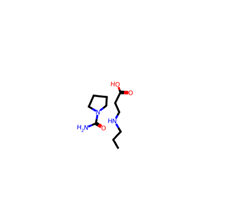 CCCNCCC(=O)O.NC(=O)N1CCCC1